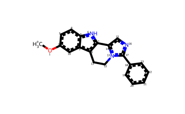 COc1ccc2[nH]c3c(c2c1)CCn1c-3cnc1-c1ccccc1